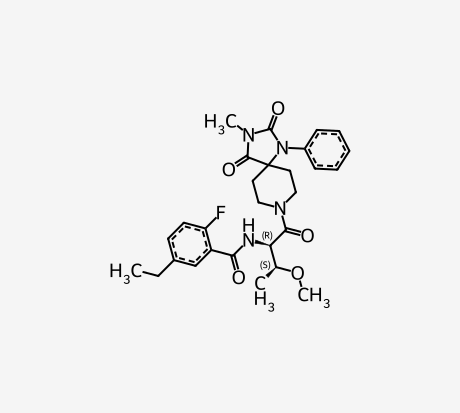 CCc1ccc(F)c(C(=O)N[C@@H](C(=O)N2CCC3(CC2)C(=O)N(C)C(=O)N3c2ccccc2)[C@H](C)OC)c1